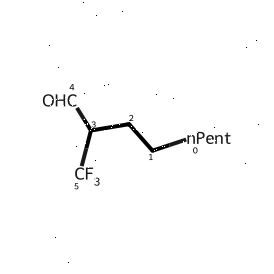 CCCCCCCC(C=O)C(F)(F)F